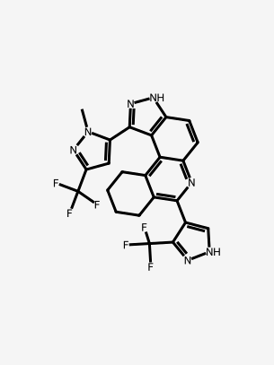 Cn1nc(C(F)(F)F)cc1-c1n[nH]c2ccc3nc(-c4c[nH]nc4C(F)(F)F)c4c(c3c12)CCCC4